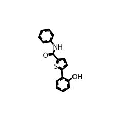 O=C(Nc1ccccc1)c1ccc(-c2ccccc2O)s1